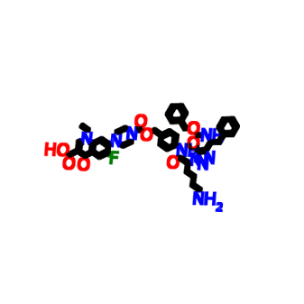 CCn1cc(C(=O)O)c(=O)c2cc(F)c(N3CCN(C(=O)OCc4ccc(NC(=O)C(CCCCN)n5cc(C(Cc6ccccc6)NC(=O)OCc6ccccc6)nn5)cc4)CC3)cc21